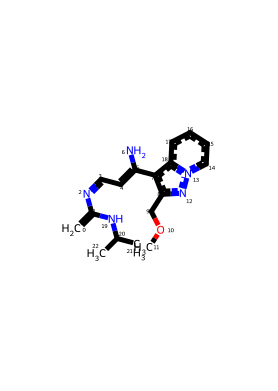 C=C(/N=C\C=C(/N)c1c(COC)nn2ccccc12)NC(C)C